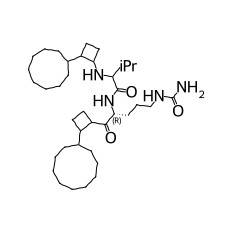 CC(C)C(NC1CCC1C1CCCCCCCC1)C(=O)N[C@H](CCCNC(N)=O)C(=O)C1CCC1C1CCCCCCCCC1